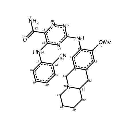 COc1cc2c(cc1Nc1nnc(C(N)=O)c(Nc3ccccc3C#N)n1)CN1CCCCC1C2